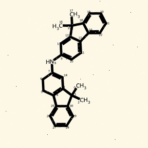 CC1(C)C2=C(CCC(Nc3ccc4c(c3)C(C)(C)c3ccccc3-4)=C2)c2ccccc21